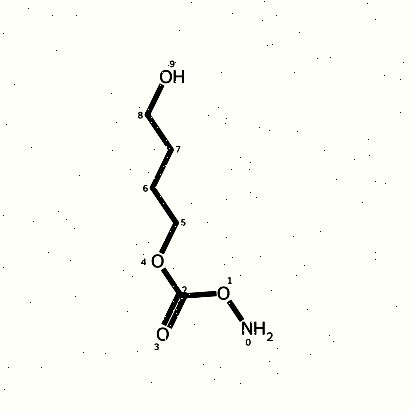 NOC(=O)OCCCCO